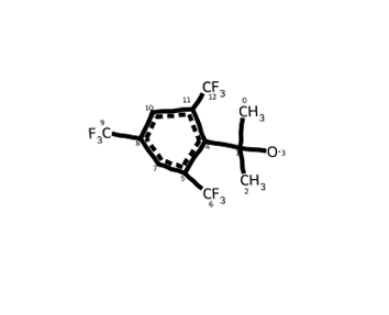 CC(C)([O])c1c(C(F)(F)F)cc(C(F)(F)F)cc1C(F)(F)F